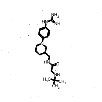 CC(C)(C)NCC(=O)NCC1CCCN(c2ccc(NC(=N)N)cc2)C1